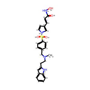 CN(CCc1cc2ccccc2[nH]1)Cc1ccc(S(=O)(=O)n2ccc(/C=C/C(=O)NO)c2)cc1